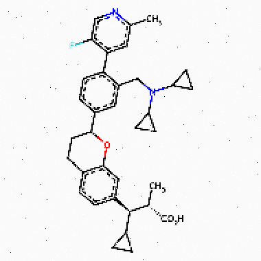 Cc1cc(-c2ccc(C3CCc4ccc([C@H](C5CC5)[C@H](C)C(=O)O)cc4O3)cc2CN(C2CC2)C2CC2)c(F)cn1